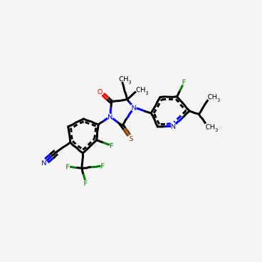 CC(C)c1ncc(N2C(=S)N(c3ccc(C#N)c(C(F)(F)F)c3F)C(=O)C2(C)C)cc1F